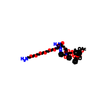 CC(=O)OC[C@@H]1CC(=O)[C@H](OC(C)=O)C2=C(C)[C@@H](OC(=O)[C@H](OC(=O)CSCC(NC(=O)CCOCCOCCOCCOCCOCCOCCN)C(N)=O)[C@@H](NC(=O)c3ccccc3)c3ccccc3)C[C@@](O)([C@H]1OC(=O)c1ccccc1)C2(C)C